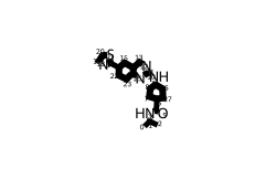 CC(C)NC(=O)c1ccc(Nc2ncc3cc(-c4nccs4)ccc3n2)cc1